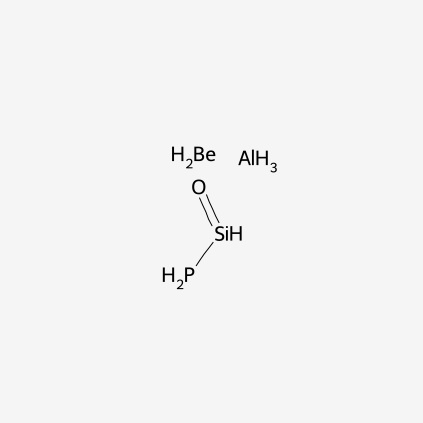 O=[SiH]P.[AlH3].[BeH2]